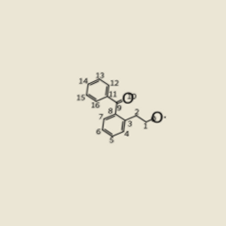 [O]CCc1ccccc1C(=O)c1ccccc1